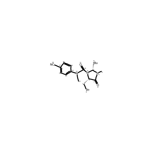 CC(C)C[C@H]1C(=O)N(C)[C@@H](C(C)(C)C)N1C(=O)N(C)c1ccc(C#N)cc1